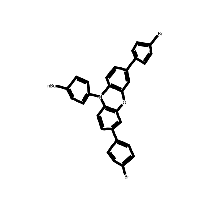 CCCCc1ccc(N2c3ccc(-c4ccc(Br)cc4)cc3Oc3cc(-c4ccc(Br)cc4)ccc32)cc1